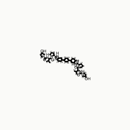 CC(C)[C@H](NC(=O)N1CC[C@H](O)C1)C(=O)N1CCC[C@H]1c1nc2ccc(-c3ccc(-c4ccc5nc([C@@H]6CCCN6C(=O)[C@@H](NC(=O)N6CC[C@H](O)C6)C(C)C)[nH]c5c4)cc3)cc2[nH]1